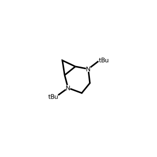 CC(C)(C)N1CCN(C(C)(C)C)C2CC21